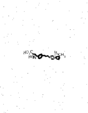 Cc1cccc(N2CCN(CCCCc3ccc(C(CCC(=O)O)=NO)cc3)CC2)c1C